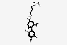 CCCCCOc1cc(F)c2c(c1)oc1cc(F)c(F)cc12